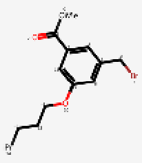 COC(=O)c1cc(CBr)cc(OCCCC(C)C)c1